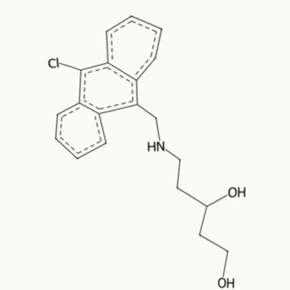 OCCC(O)CCNCc1c2ccccc2c(Cl)c2ccccc12